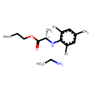 CCc1cc(C)cc(CC)c1N[C@@H](C)C(=O)OCCOC.NCC(=O)O